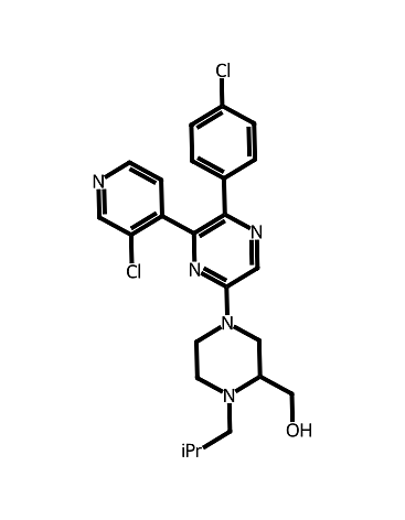 CC(C)CN1CCN(c2cnc(-c3ccc(Cl)cc3)c(-c3ccncc3Cl)n2)CC1CO